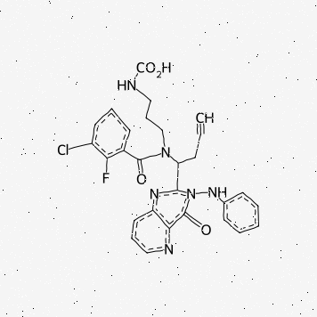 C#CCC(c1nc2cccnc2c(=O)n1Nc1ccccc1)N(CCCNC(=O)O)C(=O)c1cccc(Cl)c1F